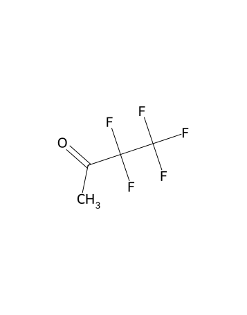 CC(=O)C(F)(F)C(F)(F)F